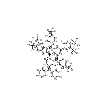 Cc1cc2c(cc1-c1cc3c4c(c1)N(c1ccc(C(C)(C)C)cc1)c1c(sc5cc6c(cc15)C(C)(C)CCC6(C)C)B4c1ccc(N(c4ccccc4)c4ccccc4)cc1N3c1ccc(C(C)(C)C)cc1)C(C)(C)CCC2(C)C